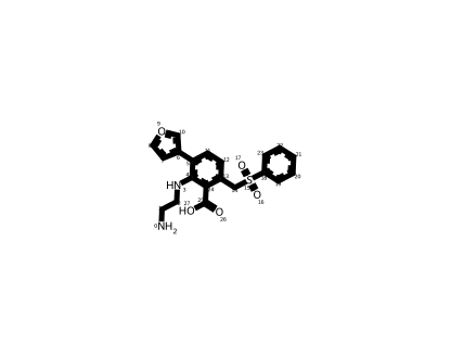 NCCNc1c(-c2ccoc2)ccc(CS(=O)(=O)c2ccccc2)c1C(=O)O